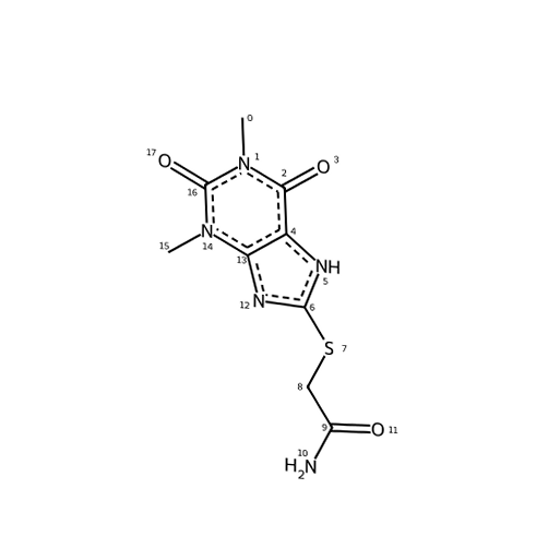 Cn1c(=O)c2[nH]c(SCC(N)=O)nc2n(C)c1=O